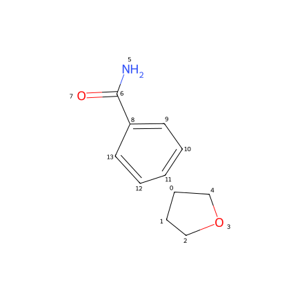 C1CCOC1.NC(=O)c1ccccc1